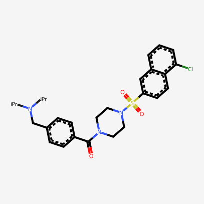 CC(C)N(Cc1ccc(C(=O)N2CCN(S(=O)(=O)c3ccc4c(Cl)cccc4c3)CC2)cc1)C(C)C